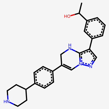 CC(O)c1cccc(-c2cnn3c2NCC(c2ccc(C4CCNCC4)cc2)=C3)c1